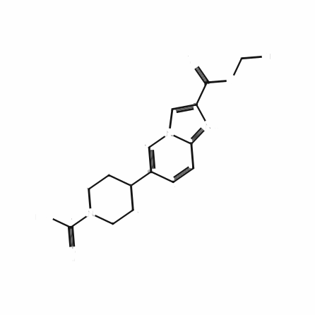 CCOC(=O)c1cn2cc(C3CCN(C(C)=O)CC3)ccc2n1